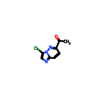 CC(=O)c1ccc2ncc(Cl)n2n1